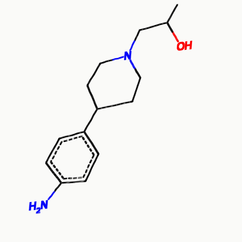 CC(O)CN1CCC(c2ccc(N)cc2)CC1